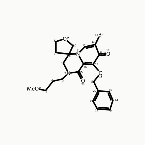 COCCCN1CC2(CCOC2)n2cc(Br)c(=O)c(OCc3ccccc3)c2C1=O